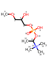 COCC(O)COP(=O)(O)OC(C)[N+](C)(C)C